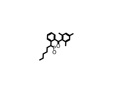 CCCCCC(P=O)c1ccccc1C(=O)c1c(C)cc(C)cc1C